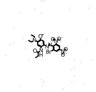 CCC(=O)Nc1cc(N(CC)CC)c(OC)cc1N=Nc1c(Br)cc([N+](=O)[O-])cc1[N+](=O)[O-]